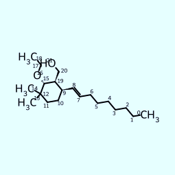 CCCCCCCC=C[C@H]1CCC(C)(C)[C@H](OCC)[C@H]1CO